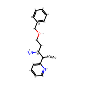 COC(c1ccccn1)[C@@H](N)CCOCc1ccccc1